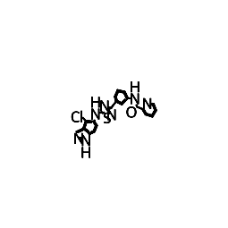 O=C(Nc1cccc(-c2nsc(Nc3ccc4[nH]ncc4c3Cl)n2)c1)c1ccccn1